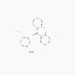 CCc1cc(CC)c2oc3ccccc3c(=O)c2c1.CN(C)c1ccc(C(=O)O)cc1